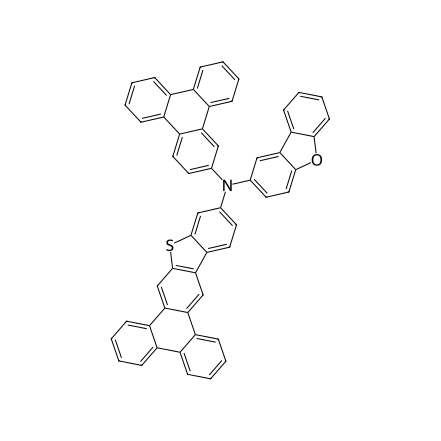 c1ccc2c(c1)oc1ccc(N(c3ccc4c(c3)sc3cc5c6ccccc6c6ccccc6c5cc34)c3ccc4c5ccccc5c5ccccc5c4c3)cc12